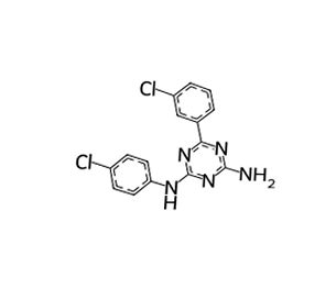 Nc1nc(Nc2ccc(Cl)cc2)nc(-c2cccc(Cl)c2)n1